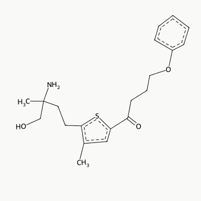 Cc1cc(C(=O)CCCOc2ccccc2)sc1CCC(C)(N)CO